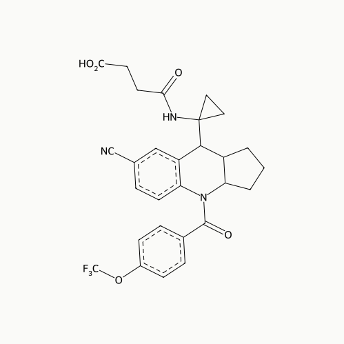 N#Cc1ccc2c(c1)C(C1(NC(=O)CCC(=O)O)CC1)C1CCCC1N2C(=O)c1ccc(OC(F)(F)F)cc1